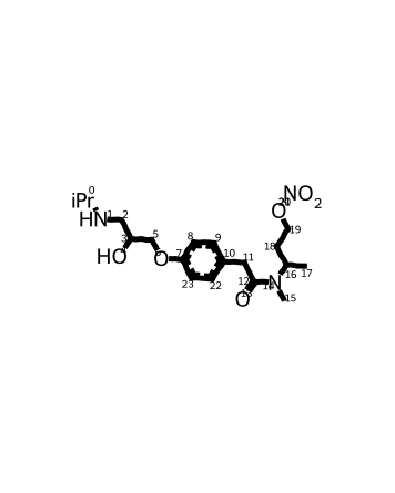 CC(C)NCC(O)COc1ccc(CC(=O)N(C)C(C)CCO[N+](=O)[O-])cc1